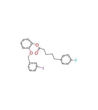 O=C(CCCCc1ccc(F)cc1)Oc1ccccc1OCc1cccc(I)c1